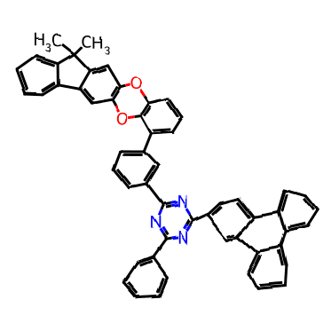 CC1(C)c2ccccc2-c2cc3c(cc21)Oc1cccc(-c2cccc(-c4nc(-c5ccccc5)nc(-c5ccc6c7ccccc7c7ccccc7c6c5)n4)c2)c1O3